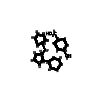 O=C(O)c1ccc(O)cc1.c1ccc(-c2nccn2Cc2ccncc2)cc1